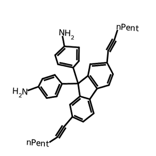 CCCCCC#Cc1ccc2c(c1)C(c1ccc(N)cc1)(c1ccc(N)cc1)c1cc(C#CCCCCC)ccc1-2